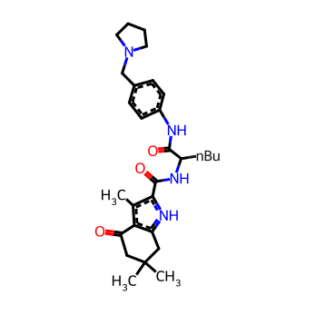 CCCCC(NC(=O)c1[nH]c2c(c1C)C(=O)CC(C)(C)C2)C(=O)Nc1ccc(CN2CCCC2)cc1